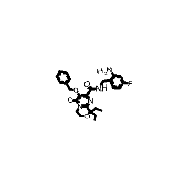 CCC1(CC)OCCn2c1nc(C(=O)NCc1ccc(F)cc1N)c(OCc1ccccc1)c2=O